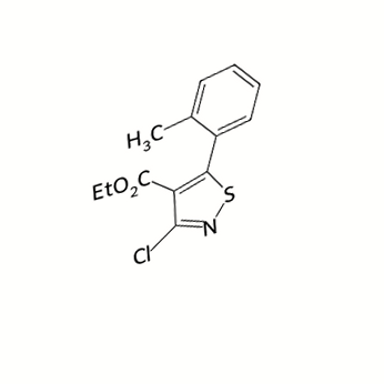 CCOC(=O)c1c(Cl)nsc1-c1ccccc1C